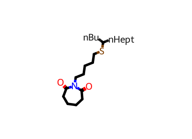 CCCCCCCC(CCCC)SCCCCCN1C(=O)CCCCC1=O